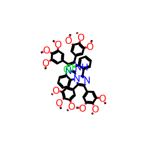 COc1cc(C2=C(c3cc(OC)c(OC)c(OC)c3)[N+](c3nc(-c4cc(OC)c(OC)c(OC)c4)c(-c4cc(OC)c(OC)c(OC)c4)[nH]3)(c3ccccc3Cl)C(c3ccccc3Cl)=N2)cc(OC)c1OC